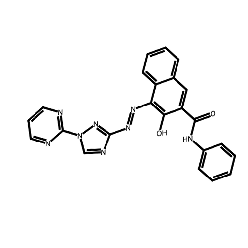 O=C(Nc1ccccc1)c1cc2ccccc2c(/N=N/c2ncn(-c3ncccn3)n2)c1O